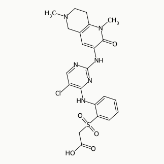 CN1CCc2c(cc(Nc3ncc(Cl)c(Nc4ccccc4S(=O)(=O)CC(=O)O)n3)c(=O)n2C)C1